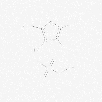 COS(=O)(=O)[O-].Cc1cc(C)[n+](C)n1C